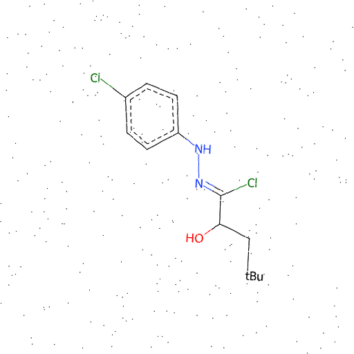 CC(C)(C)CC(O)C(Cl)=NNc1ccc(Cl)cc1